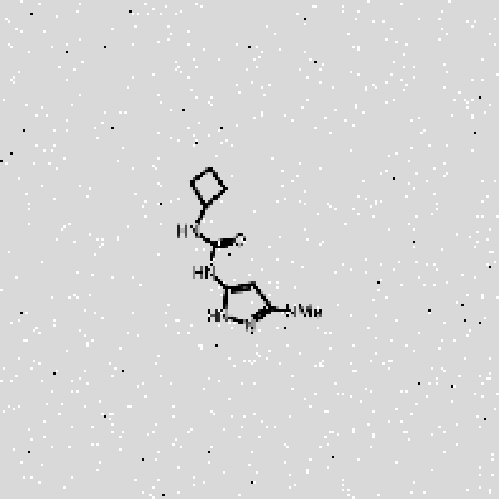 CNc1cc(NC(=O)NC2CCC2)[nH]n1